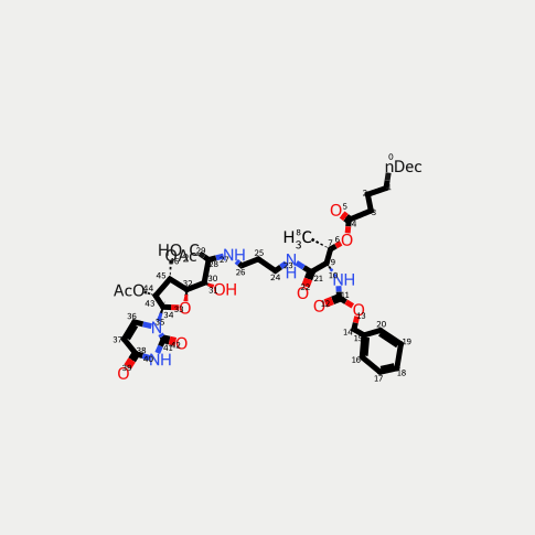 CCCCCCCCCCCCCC(=O)O[C@@H](C)[C@H](NC(=O)OCc1ccccc1)C(=O)NCCCNC(C(=O)O)[C@@H](O)[C@H]1O[C@@H](n2ccc(=O)[nH]c2=O)[C@H](OC(C)=O)[C@@H]1OC(C)=O